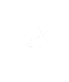 [Al+3].[F-].[Mg+2].[O-][Si]([O-])([O-])O.[OH-]